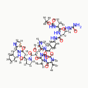 CC[C@H](C)[C@@H]([C@@H](CC(=O)N1CCC[C@H]1[C@H](OC)[C@@H](C)C(=O)NC(Cc1ccccc1)c1nccs1)OC)N(C)C(=O)[C@@H](NC(=O)[C@H](C(C)C)N(C)C(=O)OC(C(=O)N1CCN(C)CC1)c1ccc(NC(=O)[C@H](CCCNC(N)=O)NC(=O)[C@@H](NC(=O)OC(C)(C)C)C(C)C)cc1)C(C)C